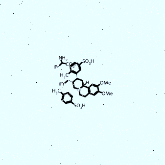 CC(C)C(N)C(=O)O.COc1cc2c(cc1OC)[C@H]1C[C@@H](c3cc(S(=O)(=O)O)ccc3C)[C@@H](CC(C)C)CN1CC2.Cc1ccc(S(=O)(=O)O)cc1